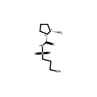 N[C@H]1CCC[C@H]1C(=O)NS(=O)(=O)CCCO